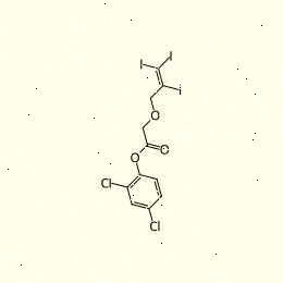 O=C(COCC(I)=C(I)I)Oc1ccc(Cl)cc1Cl